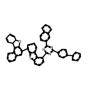 C1=CC2Oc3c(-c4cccc5c4sc4cccc(-c6nc(-c7ccc(-c8ccccc8)cc7)nc(-c7ccc8ccccc8c7)n6)c45)cc4ccccc4c3C2C=C1